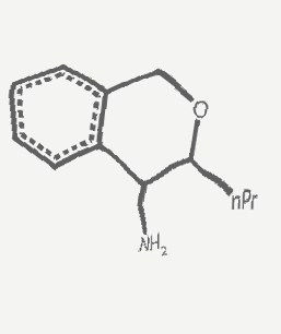 CCCC1OCc2ccccc2C1N